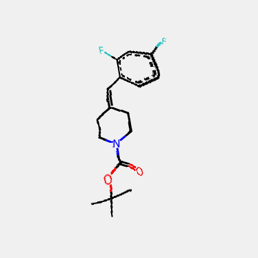 CC(C)(C)OC(=O)N1CCC(=Cc2ccc(F)cc2F)CC1